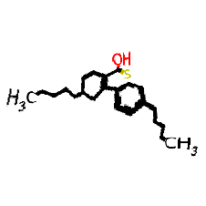 CCCCCc1ccc(C2=C(C(O)=S)CCC(CCCCC)C2)cc1